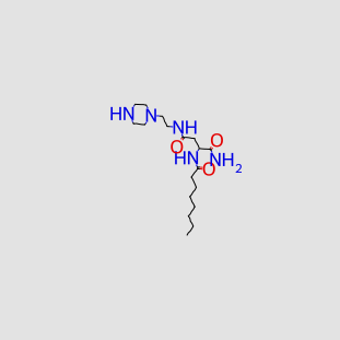 CCCCCCCC(=O)NC(CC(=O)NCCN1CCNCC1)C(N)=O